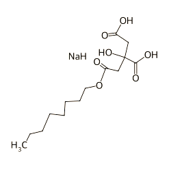 CCCCCCCCOC(=O)CC(O)(CC(=O)O)C(=O)O.[NaH]